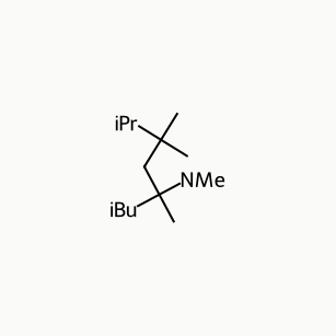 CCC(C)C(C)(CC(C)(C)C(C)C)NC